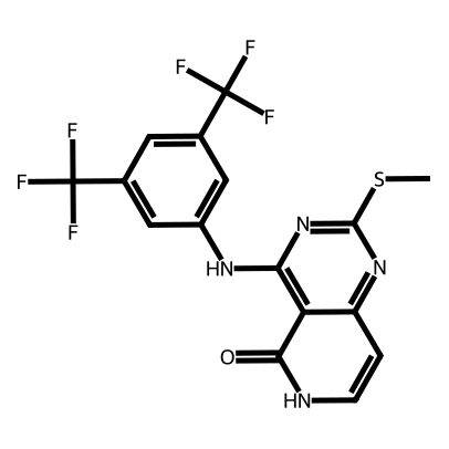 CSc1nc(Nc2cc(C(F)(F)F)cc(C(F)(F)F)c2)c2c(=O)[nH]ccc2n1